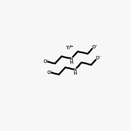 [O-]CCNCC[O-].[O-]CCNCC[O-].[Ti+4]